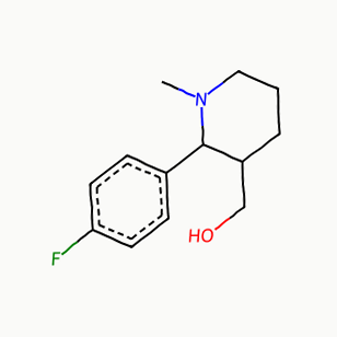 CN1CCCC(CO)C1c1ccc(F)cc1